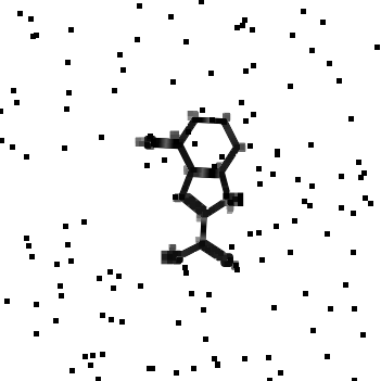 O=C(O)c1cc2c([nH]1)CCCC2=O